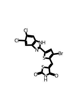 O=C1NC(=O)C(=Cc2sc(-c3nc4cc(Cl)c(Cl)cc4[nH]3)cc2Br)S1